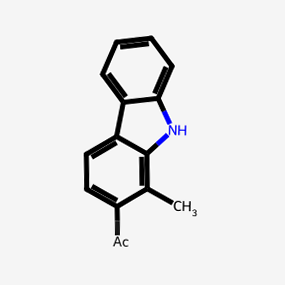 CC(=O)c1ccc2c([nH]c3ccccc32)c1C